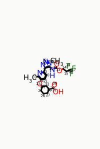 Cc1nc(-c2nnn(C)c2NC(=O)OCCC(F)(F)F)ccc1O[C@H]1CCC[C@H](C(=O)O)C1